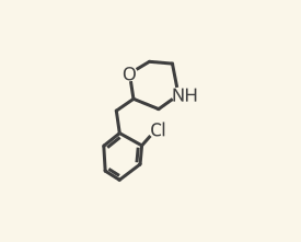 Clc1ccccc1CC1CNCCO1